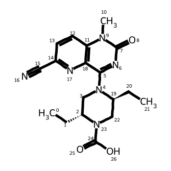 CC[C@@H]1CN(c2nc(=O)n(C)c3ccc(C#N)nc23)[C@@H](CC)CN1C(=O)O